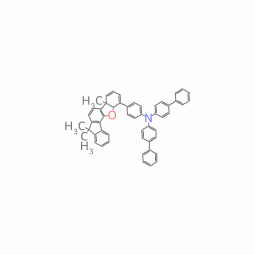 CC1(C)c2ccccc2-c2c1ccc1c2OC2C(c3ccc(N(c4ccc(-c5ccccc5)cc4)c4ccc(-c5ccccc5)cc4)cc3)=CC=CC12C